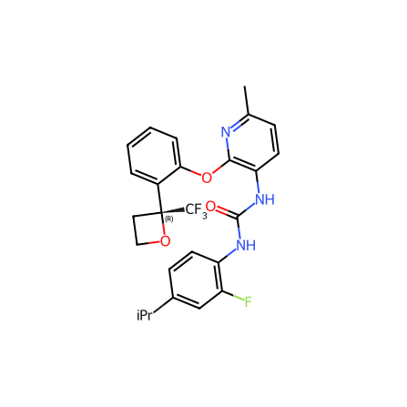 Cc1ccc(NC(=O)Nc2ccc(C(C)C)cc2F)c(Oc2ccccc2[C@@]2(C(F)(F)F)CCO2)n1